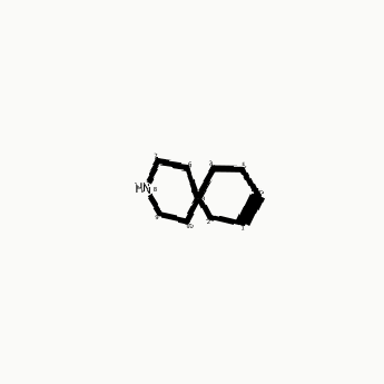 C1#CCC2(CC1)CCNCC2